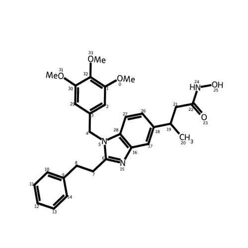 COc1cc(Cn2c(CCc3ccccc3)nc3cc(C(C)CC(=O)NO)ccc32)cc(OC)c1OC